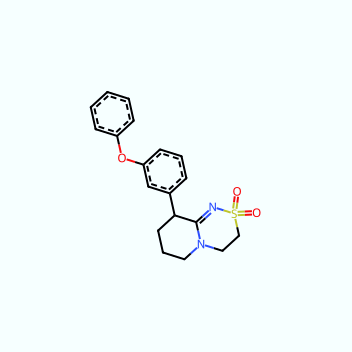 O=S1(=O)CCN2CCCC(c3cccc(Oc4ccccc4)c3)C2=N1